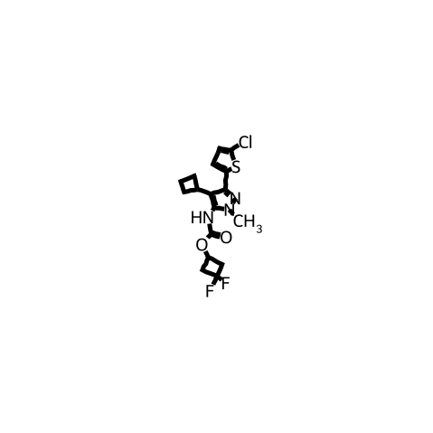 Cn1nc(-c2ccc(Cl)s2)c(C2CCC2)c1NC(=O)OC1CC(F)(F)C1